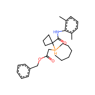 Cc1cccc(C)c1NC(=O)C1([PH]2(CC(=O)OCc3ccccc3)CCCCCC2)CCC1